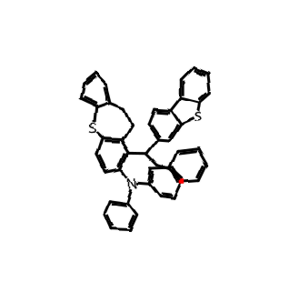 c1ccc(CC(c2ccc3c(c2)sc2ccccc23)c2c(N(c3ccccc3)c3ccccc3)ccc3c2CCc2ccccc2S3)cc1